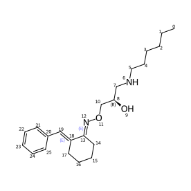 CCCCCCNC[C@@H](O)CO/N=C1\CCCC\C1=C/c1ccccc1